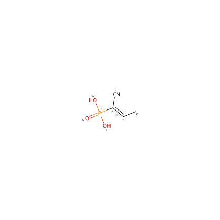 C/C=C(\C#N)P(=O)(O)O